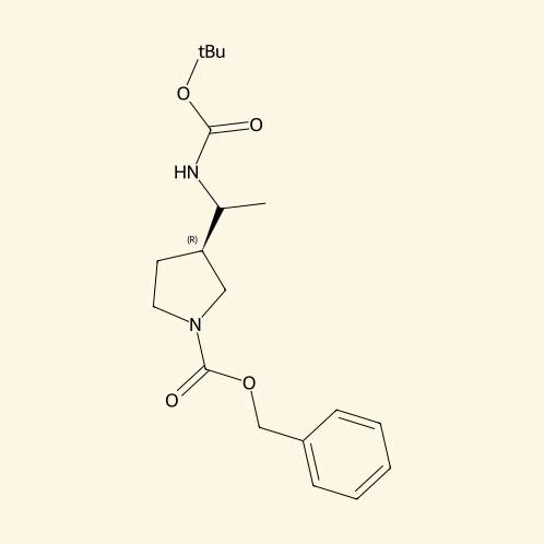 CC(NC(=O)OC(C)(C)C)[C@@H]1CCN(C(=O)OCc2ccccc2)C1